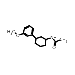 COc1cccc(C2CCCC(NC(C)=O)C2)c1